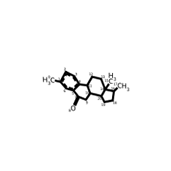 Cc1ccc2c(c1)C(=O)CC1C2CCC2(C)C(C)CCC12